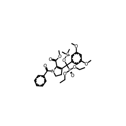 CCOP(=O)(OCC)C(O[Si](C)(C)C)(C1=C(C(=O)OC)N(C(=O)c2ccccc2)CC1)c1cc(OC)cc(OC)c1